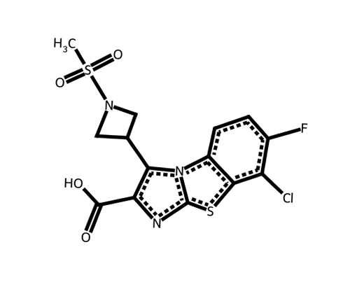 CS(=O)(=O)N1CC(c2c(C(=O)O)nc3sc4c(Cl)c(F)ccc4n23)C1